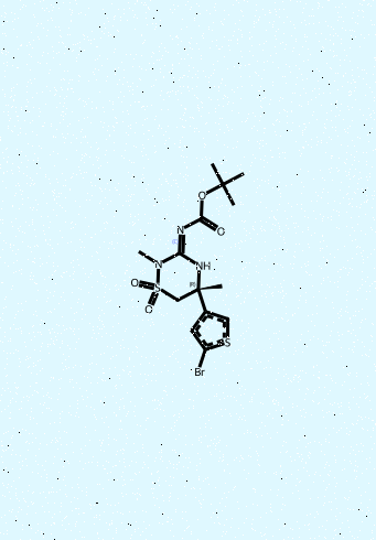 CN1/C(=N/C(=O)OC(C)(C)C)N[C@](C)(c2csc(Br)c2)CS1(=O)=O